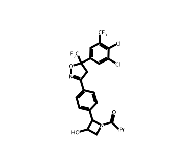 CC(C)C(=O)N1CC(O)C1c1ccc(C2=NOC(c3cc(Cl)c(Cl)c(C(F)(F)F)c3)(C(F)(F)F)C2)cc1